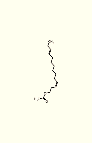 CCC=CCCCCCC/C=C\CCOC(C)=O